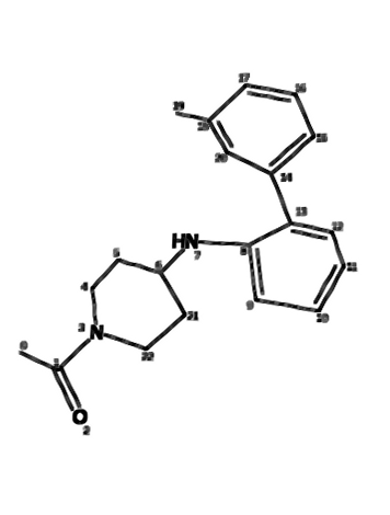 CC(=O)N1CCC(Nc2ccccc2-c2cccc(C)c2)CC1